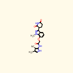 Cc1c[nH]c(NC(=O)COc2cccc3c(C4CCC(=O)NC4=O)nn(C)c23)c1C#N